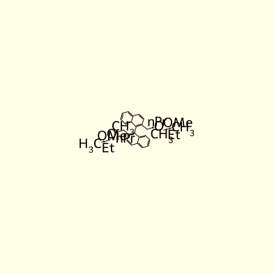 CCCC(C)(Cc1ccc2ccccc2c1-c1c(CC(C)(CCC)OCC(C)(CC)OC)ccc2ccccc12)OCC(C)(CC)OC